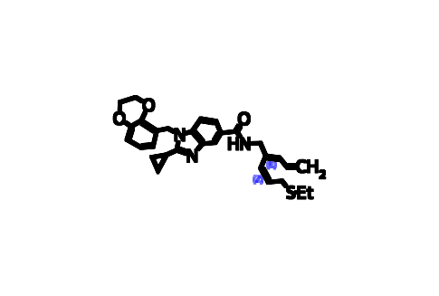 C=C/C=C(\C=C/CSCC)CNC(=O)c1ccc2c(c1)nc(C1CC1)n2Cc1cccc2c1OCCO2